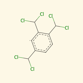 ClC(Cl)c1[c]c(C(Cl)Cl)c(C(Cl)Cl)cc1